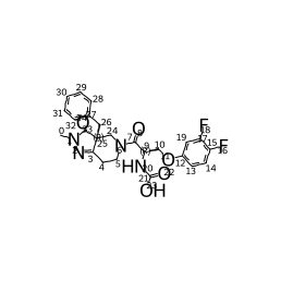 CN1N=C2CCN(C(=O)[C@@H](COc3ccc(F)c(F)c3)NC(=O)O)C[C@@]2(Cc2ccccc2)C1=O